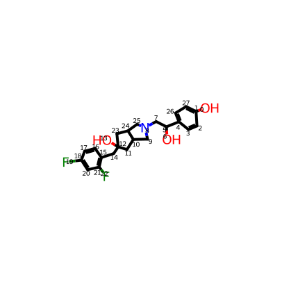 Oc1ccc(C(O)CN2CC3CC(O)(Cc4ccc(F)cc4F)CC3C2)cc1